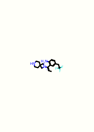 C/C=C(\c1cc(CC(F)(F)F)ccc1N)N1CC2(CCNCC2)C1